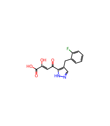 O=C(O)C(O)=CC(=O)c1[nH]ncc1Cc1ccccc1F